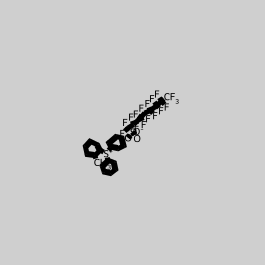 Cc1ccccc1[S+](c1ccccc1)c1ccccc1.O=S(=O)([O-])C(F)(F)C(F)(F)C(F)(F)C(F)(F)C(F)(F)C(F)(F)C(F)(F)C(F)(F)F